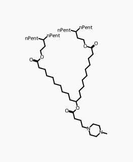 CCCCCC(CCCCC)CCOC(=O)CCCCCCCCCC(CCCCCCCCCC(=O)OCCC(CCCCC)CCCCC)OC(=O)CCCN1CCN(C)CC1